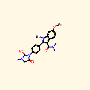 CCOc1ccc2c(C(=O)N(C)C)c(-c3ccc(N4C(=O)CN(C)C4O)cc3)n(CC)c2c1